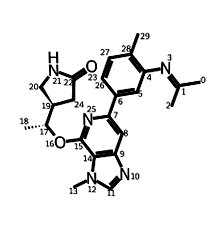 CC(C)=Nc1cc(-c2cc3ncn(C)c3c(O[C@H](C)[C@H]3CNC(=O)C3)n2)ccc1C